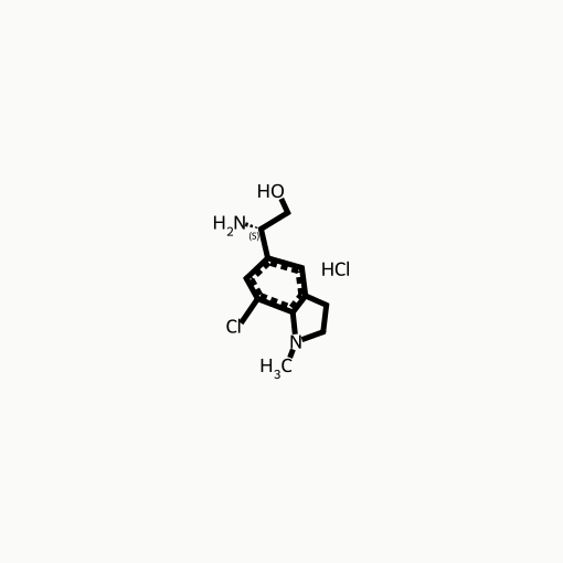 CN1CCc2cc([C@H](N)CO)cc(Cl)c21.Cl